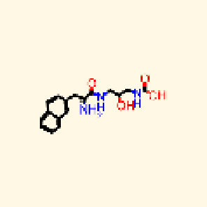 N[C@@H](Cc1ccc2ccccc2c1)C(=O)NCC(O)CNC(=O)O